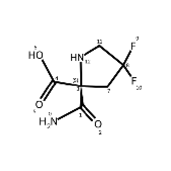 NC(=O)[C@]1(C(=O)O)CC(F)(F)CN1